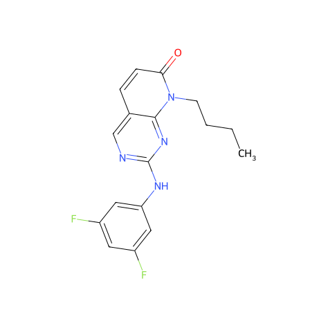 CCCCn1c(=O)ccc2cnc(Nc3cc(F)cc(F)c3)nc21